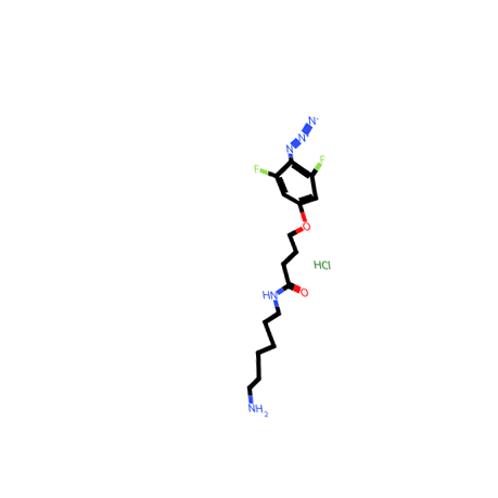 Cl.[N-]=[N+]=Nc1c(F)cc(OCCCC(=O)NCCCCCCN)cc1F